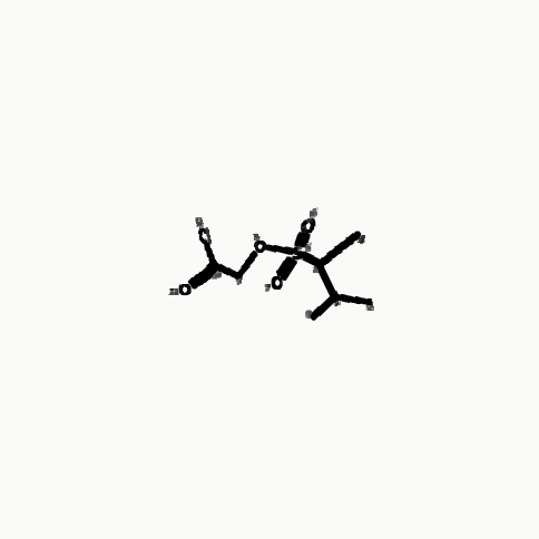 CC(C)C(C)S(=O)(=O)OCC(=O)Cl